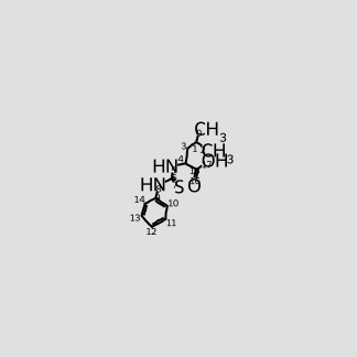 CC(C)CC(NC(=S)Nc1ccccc1)C(=O)O